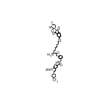 COc1cnc(C(=O)NCc2cccc(CC(=O)N(C)CCCCCCCOc3ccc4c(c3)C(=O)C(C3CCC(=O)NC3=O)C4=O)c2)cc1/C=C/C1CCC(C(F)(F)F)CC1